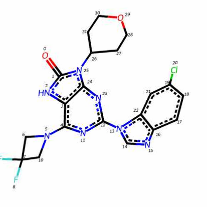 O=c1[nH]c2c(N3CC(F)(F)C3)nc(-n3cnc4ccc(Cl)cc43)nc2n1C1CCOCC1